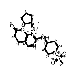 C[C@@]1(O)CCC[C@H]1N1C(=O)CCc2cnc(NC3CCN(S(C)(=O)=O)CC3)nc21